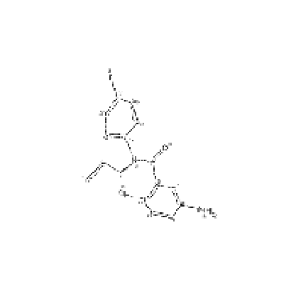 C=CCN(C(=O)c1cc(N)ccc1Cl)c1ccc(F)cc1